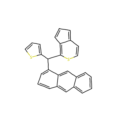 c1csc(C(c2sccc3cccc2-3)c2cccc3cc4ccccc4cc23)c1